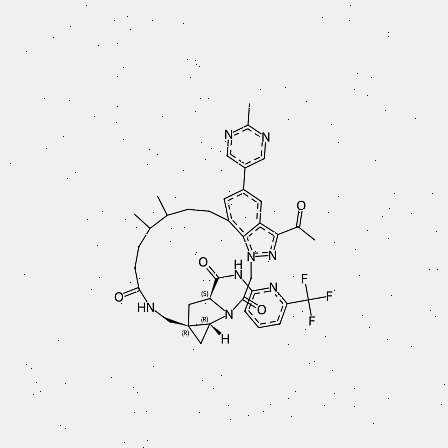 CC(=O)c1nn2c3c(cc(-c4cnc(C)nc4)cc13)CCC(C)C(C)CCC(=O)NC[C@@]13C[C@@H](C(=O)Nc4cccc(C(F)(F)F)n4)N(C(=O)C2)[C@@H]1C3